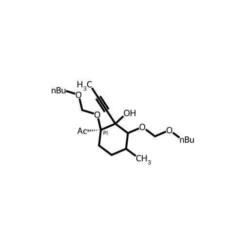 CC#CC1(O)C(OCOCCCC)C(C)CC[C@]1(OCOCCCC)C(C)=O